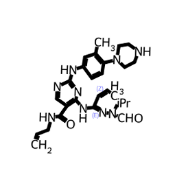 C=CCNC(=O)c1cnc(Nc2ccc(N3CCNCC3)c(C)c2)nc1NC(/C=C\C)=N/N(C=O)C(C)C